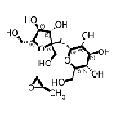 CC1CO1.OC[C@H]1O[C@@](CO)(O[C@H]2O[C@H](CO)[C@@H](O)[C@H](O)[C@H]2O)[C@@H](O)[C@@H]1O